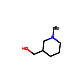 CCCCN1CCCC(CO)C1